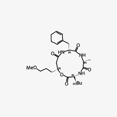 CC[C@H](C)[C@H]1NC(=O)[C@@H](C)NC(=O)[C@@H](CC2=CCCC=C2)NC(=O)C[C@@H](CCCOC)OC1=O